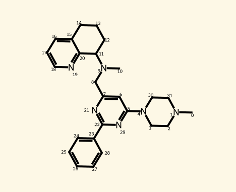 CN1CCN(c2cc(CN(C)C3CCCc4cccnc43)nc(-c3ccccc3)n2)CC1